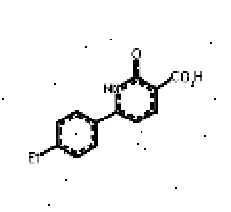 CCc1ccc(-c2ccc(C(=O)O)c(=O)[nH]2)cc1